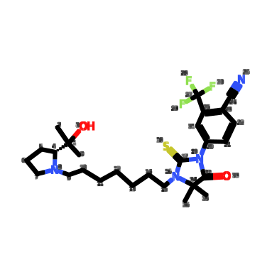 CC(C)(O)[C@H]1CCCN1CCCCCCCN1C(=S)N(c2ccc(C#N)c(C(F)(F)F)c2)C(=O)C1(C)C